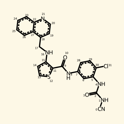 N#CNC(=O)Nc1cc(NC(=O)c2sccc2NCc2ccnc3ccccc23)ccc1Cl